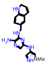 CN/C=C(\C=N)Nc1cnc(N)c(NCc2ccc3c(c2)C=CCN3)n1